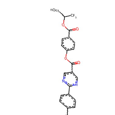 CCCCCCCCCCCc1ccc(-c2ncc(C(=O)Oc3ccc(C(=O)OC(CCCCCCCC)C(F)(F)F)cc3)cn2)cc1